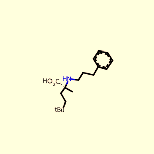 CC(C)(C)CC[C@](C)(NCCCc1ccccc1)C(=O)O